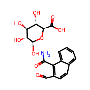 NC(=O)c1c(C=O)ccc2ccccc12.O=C(O)[C@H]1O[C@@H](O)[C@H](O)[C@@H](O)[C@@H]1O